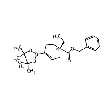 CC[C@@]1(C(=O)OCc2ccccc2)CC=C(B2OC(C)(C)C(C)(C)O2)CC1